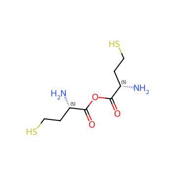 N[C@@H](CCS)C(=O)OC(=O)[C@@H](N)CCS